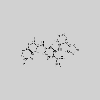 CN1CCc2cc(F)c(Nc3nnc(C(N)=O)c(Nc4ccccc4C4CCCO4)n3)cc2C1